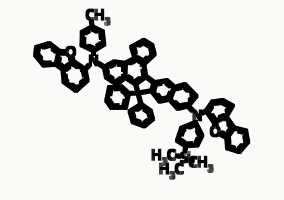 Cc1ccc(N(c2ccc3c4c(c5ccccc5c3c2)-c2cc3ccc(N(c5ccc([Si](C)(C)C)cc5)c5cccc6c5oc5ccccc56)cc3cc2C4(c2ccccc2)c2ccccc2)c2cccc3c2oc2ccccc23)cc1